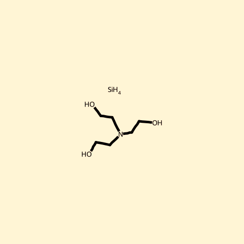 OCCN(CCO)CCO.[SiH4]